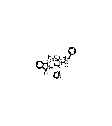 CC1(C)O[C@H](CN2C(=O)c3ccccc3C2=O)[C@@H](Cn2cccn2)N1C(=O)OCc1ccccc1